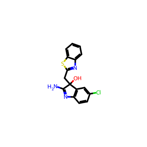 NC1=Nc2ccc(Cl)cc2C1(O)Cc1nc2ccccc2s1